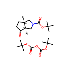 CC(C)(C)OC(=O)N1C[C@@H]2CCC(=O)[C@@H]2C1.CC(C)(C)OC(=O)OC(=O)OC(C)(C)C